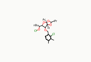 CCCC[C@H](OCl)[C@H]1O[C@]2(C(C)=O)OC(C(C)C)O[C@@H]2[C@H]1OCc1ccc(C)c(C)c1Cl